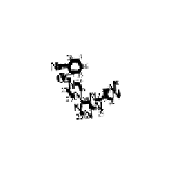 Cn1cc(-c2nc3c(N4CCN([S+]([O-])c5ccccc5C#N)CC4)ncnc3n2C)cn1